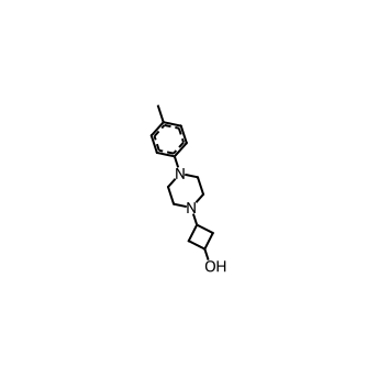 Cc1ccc(N2CCN(C3CC(O)C3)CC2)cc1